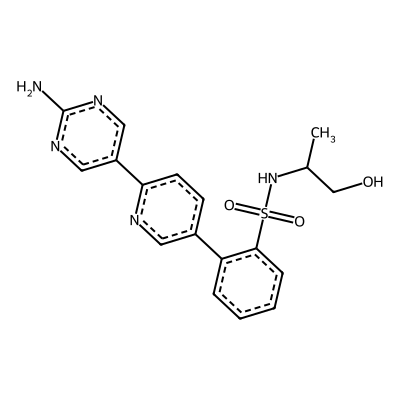 CC(CO)NS(=O)(=O)c1ccccc1-c1ccc(-c2cnc(N)nc2)nc1